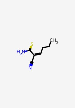 CCCC=C(C#N)C(N)=S